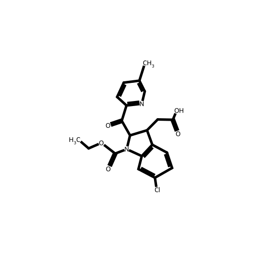 CCOC(=O)N1c2cc(Cl)ccc2C(CC(=O)O)C1C(=O)c1ccc(C)cn1